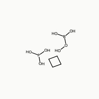 C1CCC1.OOB(O)O.OP(O)O